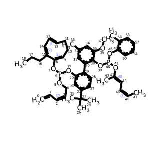 C=C/C=C\COP(OC1=C/CC/C=C/C=C\1CCC)Oc1cc(C(C)(C)C)ccc1-c1cc(C)cc(OC)c1OP(O/C(C)=C/C=C\C)Oc1ccccc1C